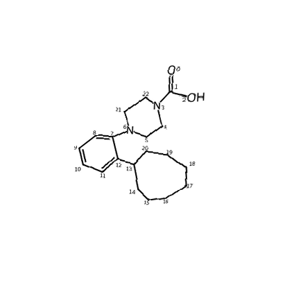 O=C(O)N1CCN(c2ccccc2C2CCCCCCC2)CC1